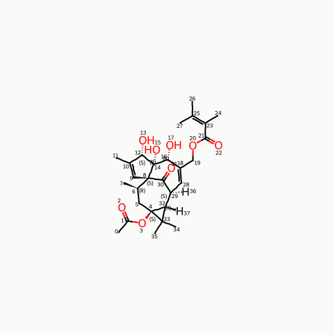 CC(=O)O[C@@]12C[C@@H](C)[C@]34C=C(C)[C@H](O)[C@@]3(O)[C@H](O)C(COC(=O)C(C)=C(C)C)=C[C@H](C4=O)[C@@H]1C2(C)C